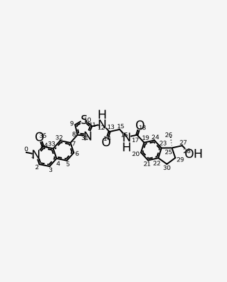 Cn1ccc2ccc(-c3csc(NC(=O)CNC(=O)c4ccc5c(c4)[C@@](C)(CO)CC5)n3)cc2c1=O